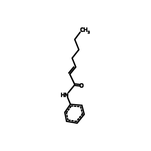 CCCCC=CC(=O)Nc1ccccc1